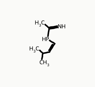 CC(=N)P/C=C\C(C)C